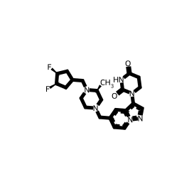 C[C@H]1CN(Cc2ccn3ncc(N4CCC(=O)NC4=O)c3c2)CCN1CC1C[C@@H](F)[C@@H](F)C1